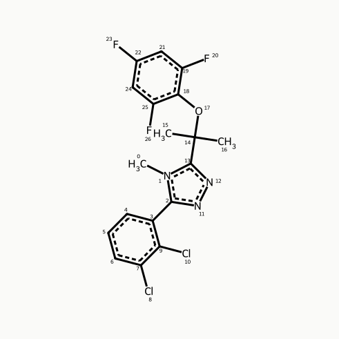 Cn1c(-c2cccc(Cl)c2Cl)nnc1C(C)(C)Oc1c(F)cc(F)cc1F